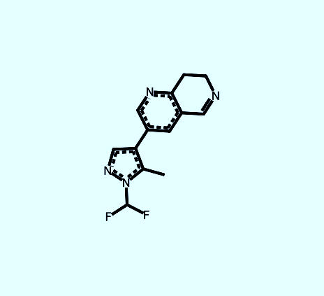 Cc1c(-c2cnc3c(c2)C=NCC3)cnn1C(F)F